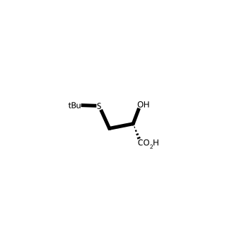 CC(C)(C)SC[C@H](O)C(=O)O